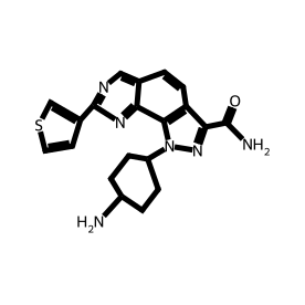 NC(=O)c1nn(C2CCC(N)CC2)c2c1ccc1cnc(-c3ccsc3)nc12